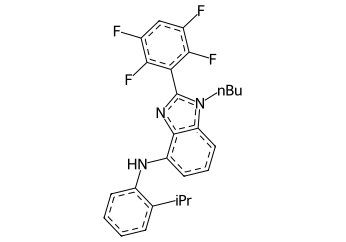 CCCCn1c(-c2c(F)c(F)cc(F)c2F)nc2c(Nc3ccccc3C(C)C)cccc21